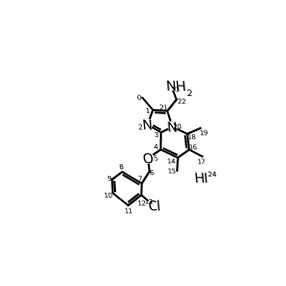 Cc1nc2c(OCc3ccccc3Cl)c(C)c(C)c(C)n2c1CN.I